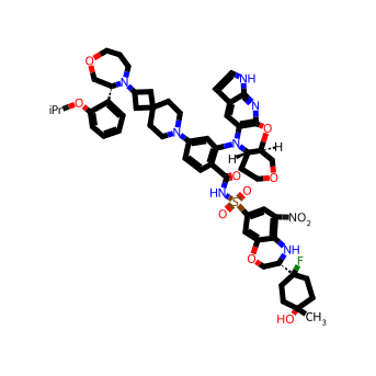 CC(C)Oc1ccccc1[C@@H]1COCCCN1C1CC2(CCN(c3ccc(C(=O)NS(=O)(=O)c4cc5c(c([N+](=O)[O-])c4)N[C@H](C4(F)CCC(C)(O)CC4)CO5)c(N4c5cc6cc[nH]c6nc5O[C@H]5COCC[C@@H]54)c3)CC2)C1